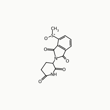 C[S+]([O-])c1cccc2c1C(=O)N(C1CCC(=O)NC1=O)C2=O